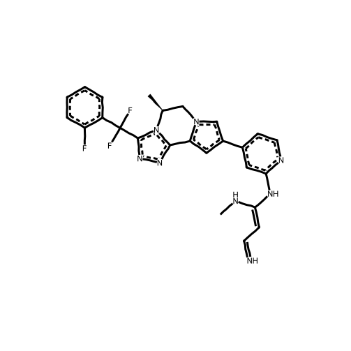 CN/C(=C\C=N)Nc1cc(-c2cc3n(c2)C[C@H](C)n2c-3nnc2C(F)(F)c2ccccc2F)ccn1